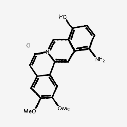 COc1cc2cc[n+]3cc4c(O)ccc(N)c4cc3c2cc1OC.[Cl-]